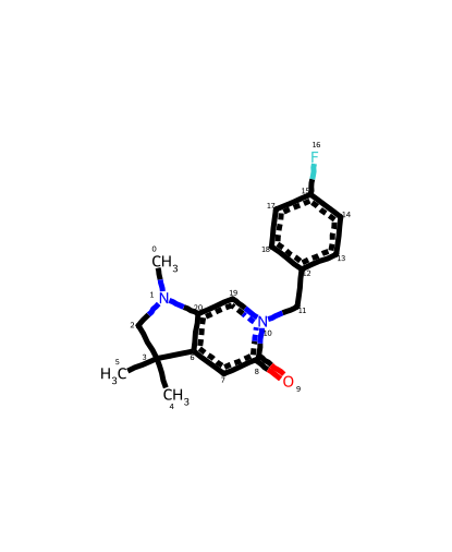 CN1CC(C)(C)c2cc(=O)n(Cc3ccc(F)cc3)cc21